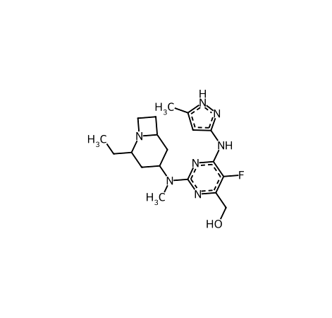 CCC1CC(N(C)c2nc(CO)c(F)c(Nc3cc(C)[nH]n3)n2)CC2CCN12